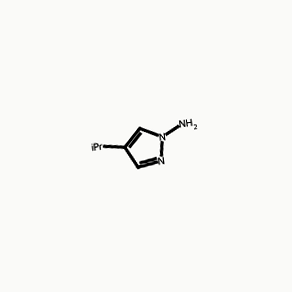 CC(C)c1cnn(N)c1